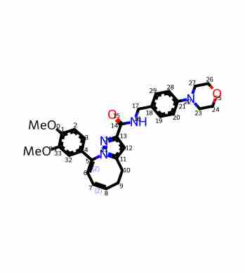 COc1ccc(/C2=C/C=C\CCc3cc(C(=O)NCc4ccc(N5CCOCC5)cc4)nn32)cc1OC